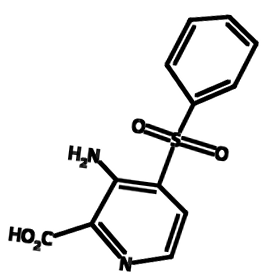 Nc1c(S(=O)(=O)c2ccccc2)ccnc1C(=O)O